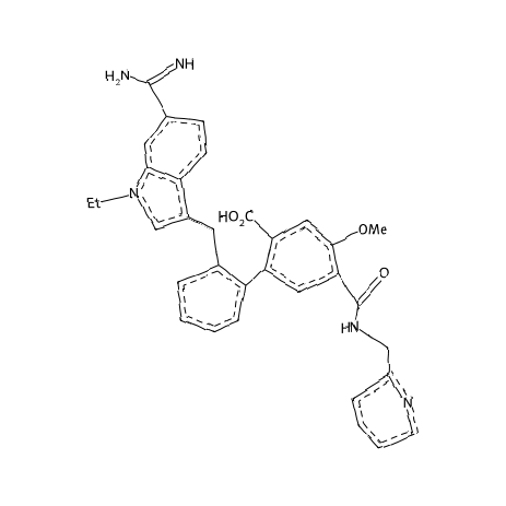 CCn1cc(Cc2ccccc2-c2cc(C(=O)NCc3ccccn3)c(OC)cc2C(=O)O)c2ccc(C(=N)N)cc21